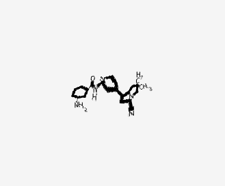 CC1(C)Cc2c(-c3ccnc(NC(=O)[C@H]4CCC[C@@H](N)C4)c3)cc(C#N)n2C1